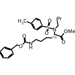 COC(=O)[C@H](CCCCNC(=O)OCc1ccccc1)N(CC(C)C)S(=O)(=O)c1ccc(C)cc1